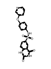 O=c1[nH]c(=O)c2cc(S(=O)(=O)Nc3ccc(Oc4cccnc4)cc3)ccc2[nH]1